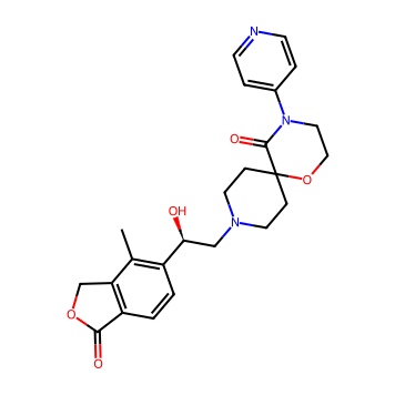 Cc1c([C@@H](O)CN2CCC3(CC2)OCCN(c2ccncc2)C3=O)ccc2c1COC2=O